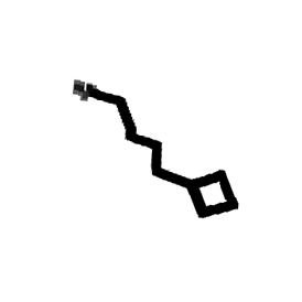 NCCCCC1CCC1